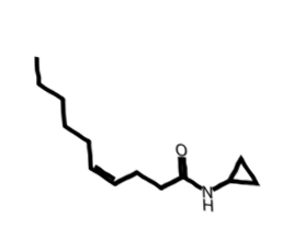 CCCCC/C=C\CCC(=O)NC1CC1